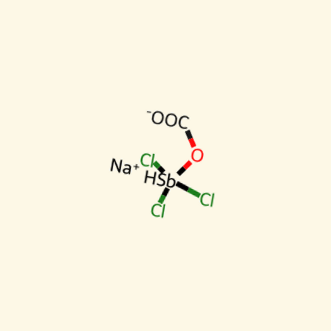 O=C([O-])[O][SbH]([Cl])([Cl])[Cl].[Na+]